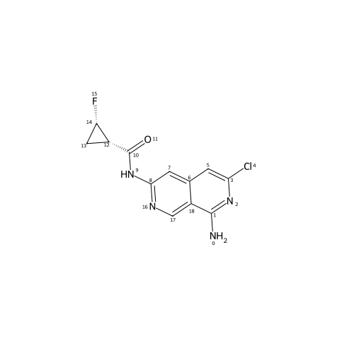 Nc1nc(Cl)cc2cc(NC(=O)[C@@H]3C[C@@H]3F)ncc12